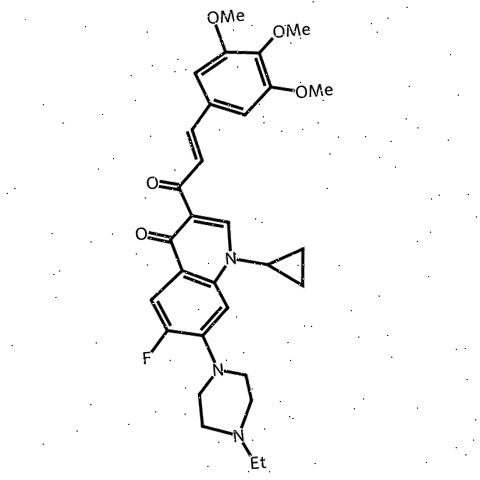 CCN1CCN(c2cc3c(cc2F)c(=O)c(C(=O)C=Cc2cc(OC)c(OC)c(OC)c2)cn3C2CC2)CC1